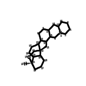 C1CCN2CC3C(CCC4C3C[C@]35CO[C@@H]6CCCC3C6CCC45)CC2C1